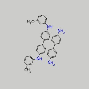 Cc1cccc(Nc2ccc(-c3ccc(Nc4cccc(C)c4)cc3)cc2)c1.Nc1ccc(-c2ccc(N)cc2)cc1